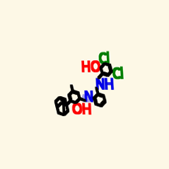 CC1=CC(/C=N/c2ccccc2CNCC2=CC(Cl)=CC(Cl)C2O)C(O)C(C23CC4CC(CC(C4)C2)C3)=C1